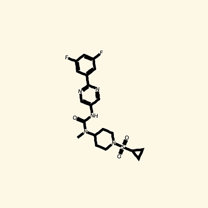 CN(C(=O)Nc1cnc(-c2cc(F)cc(F)c2)nc1)C1CCN(S(=O)(=O)C2CC2)CC1